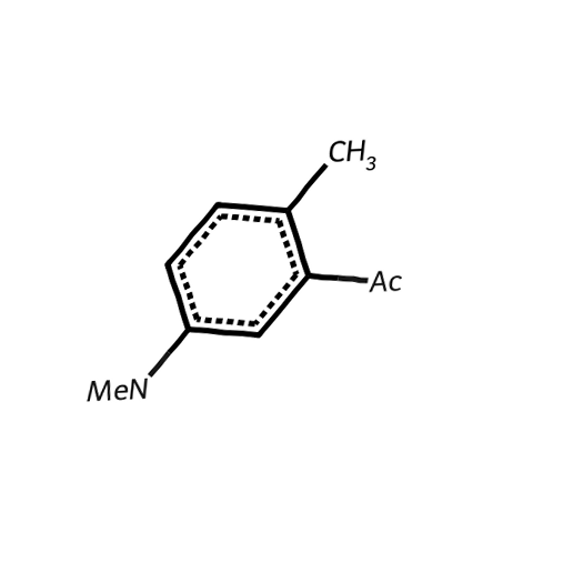 CNc1ccc(C)c(C(C)=O)c1